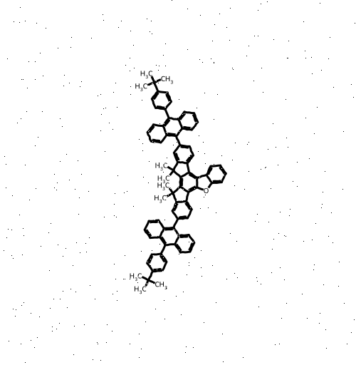 CC(C)(C)c1ccc(-c2c3ccccc3c(-c3ccc4c(c3)C(C)(C)c3c5c(c6c(oc7ccccc76)c3-4)-c3ccc(-c4c6ccccc6c(-c6ccc(C(C)(C)C)cc6)c6ccccc46)cc3C5(C)C)c3ccccc23)cc1